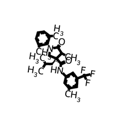 Cc1cc(NC(=O)[C@]2(CC(C)C)CN(c3c(C)cccc3C)C(=O)C2C)cc(C(F)(F)F)c1